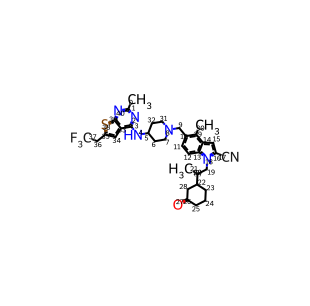 Cc1nc(NC2CCN(Cc3ccc4c(cc(C#N)n4C[C@H](C)C4CCCC(=O)C4)c3C)CC2)c2cc(CC(F)(F)F)sc2n1